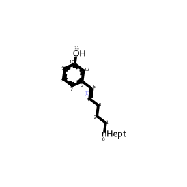 CCCCCCCCCC/C=C/c1cccc(O)c1